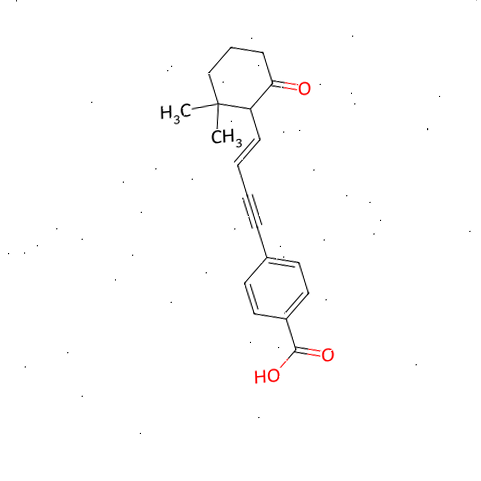 CC1(C)CCCC(=O)C1C=CC#Cc1ccc(C(=O)O)cc1